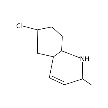 CC1C=CC2CC(Cl)CCC2N1